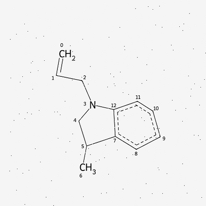 C=CCN1CC(C)c2ccccc21